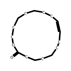 O=C1CCCCCCC=CCCCCCCCO1